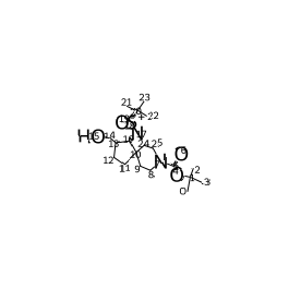 CC(C)(C)OC(=O)N1CCC2(CCC(CO)/C2=N\[S@+]([O-])C(C)(C)C)CC1